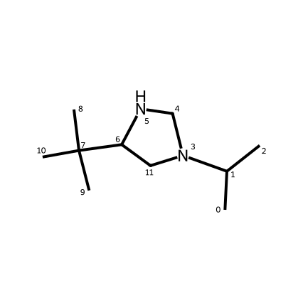 CC(C)N1CNC(C(C)(C)C)C1